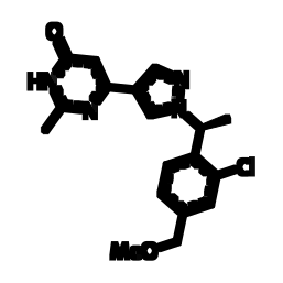 COCc1ccc([C@H](C)n2cc(-c3cc(=O)[nH]c(C)n3)cn2)c(Cl)c1